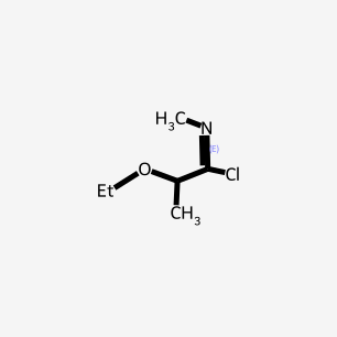 CCOC(C)/C(Cl)=N\C